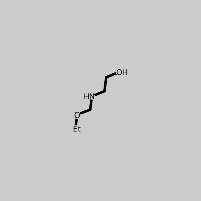 CCOCNCCO